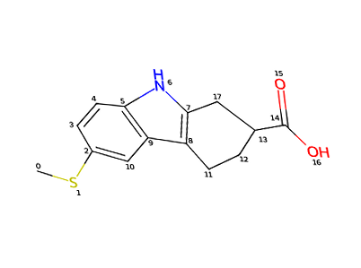 CSc1ccc2[nH]c3c(c2c1)CCC(C(=O)O)C3